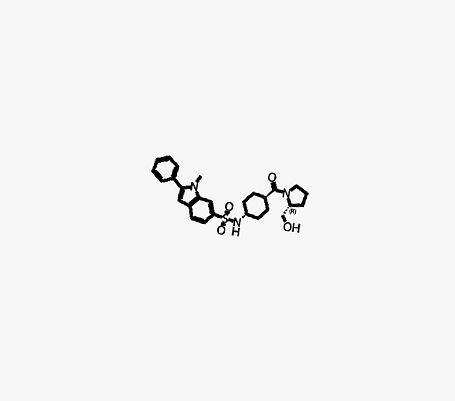 Cn1c(-c2ccccc2)cc2ccc(S(=O)(=O)N[C@H]3CC[C@H](C(=O)N4CCC[C@@H]4CO)CC3)cc21